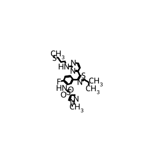 CSCCCNc1nccc(-c2sc(C(C)C)nc2-c2ccc(F)c(NS(=O)(=O)c3cnn(C)c3)c2)n1